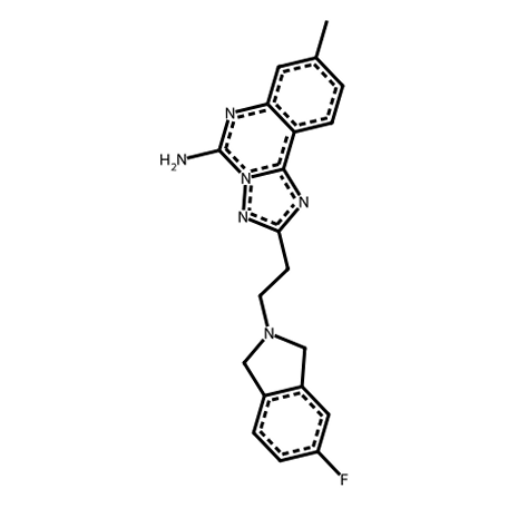 Cc1ccc2c(c1)nc(N)n1nc(CCN3Cc4ccc(F)cc4C3)nc21